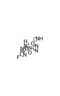 Nc1nn2cc(F)cnc2c1C(=O)Nc1cncnc1O[C@H]1CCNC1